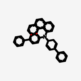 C1=CC(N(c2ccc(-c3ccccc3)cc2)c2cccc3ccc4ccccc4c23)CC=C1c1ccccc1